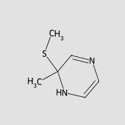 CSC1(C)C=NC=CN1